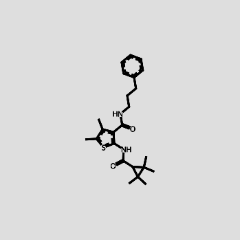 Cc1sc(NC(=O)C2C(C)(C)C2(C)C)c(C(=O)NCCCc2ccccc2)c1C